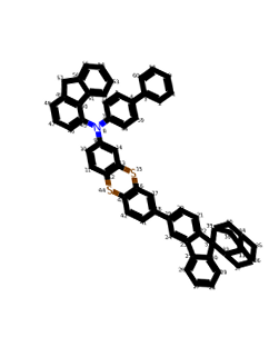 c1ccc(-c2ccc(N(c3ccc4c(c3)Sc3cc(-c5ccc6c(c5)-c5ccccc5C65C6CC7CC(C6)CC5C7)ccc3S4)c3cccc4c3-c3ccccc3C4)cc2)cc1